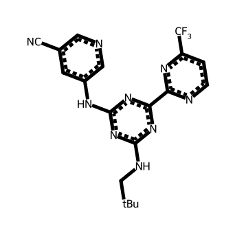 CC(C)(C)CNc1nc(Nc2cncc(C#N)c2)nc(-c2nccc(C(F)(F)F)n2)n1